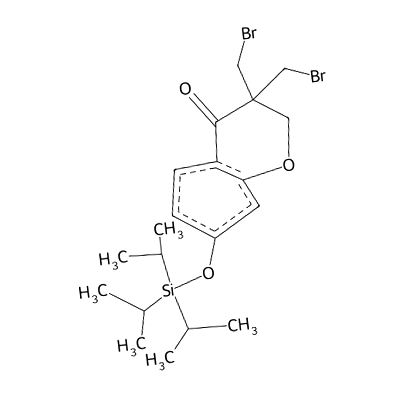 CC(C)[Si](Oc1ccc2c(c1)OCC(CBr)(CBr)C2=O)(C(C)C)C(C)C